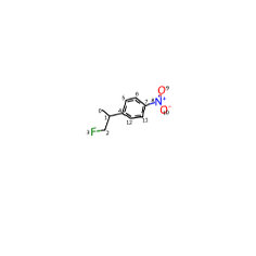 CC(CF)c1ccc([N+](=O)[O-])cc1